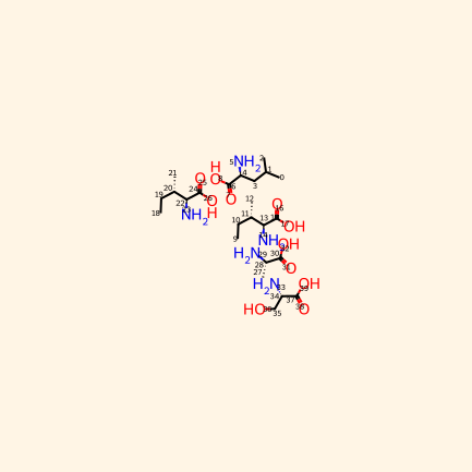 CC(C)C[C@H](N)C(=O)O.CC[C@H](C)[C@H](N)C(=O)O.CC[C@H](C)[C@H](N)C(=O)O.C[C@H](N)C(=O)O.N[C@@H](CO)C(=O)O